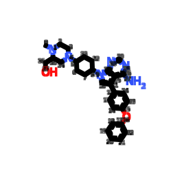 CN1CCN(C2CCC(n3cc(-c4ccc(Oc5ccccc5)cc4)c4c(N)ncnc43)CC2)CC1CO